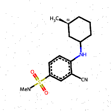 CNS(=O)(=O)c1ccc(NC2CCC[C@H](C)C2)c(C#N)c1